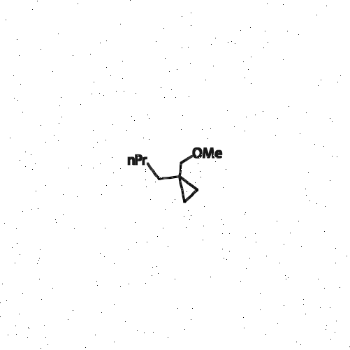 CCCCC1(COC)CC1